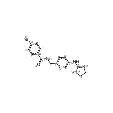 O=C(NCc1ccc(NC2=NCCN2)cc1)c1ccc(Br)cc1